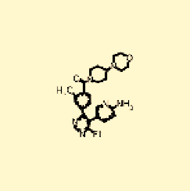 CCc1ncnc(-c2ccc(C(=O)N3CCC(N4CCOCC4)CC3)c(C)c2)c1-c1ccc(N)nc1